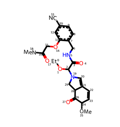 CCOC(C(=O)NCc1ccc(C#N)cc1OCC(=O)NC)N1C=C2C=CC(OC)C(=O)C2C1